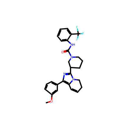 COc1cccc(-c2nc(C3CCCN(C(=O)Nc4ccccc4C(F)(F)F)C3)n3c2C=CCC3)c1